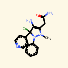 CN1C(CC(N)=O)=C(N)C(Cl)(c2ccncc2)N1c1ccccc1